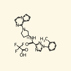 Cc1ccccc1-n1cnc(C(=O)N[C@H]2CCN(c3nccn4cccc34)C2)n1.O=C(O)C(F)(F)F